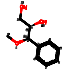 CO[C@H](c1ccccc1)[C@@H](O)CO